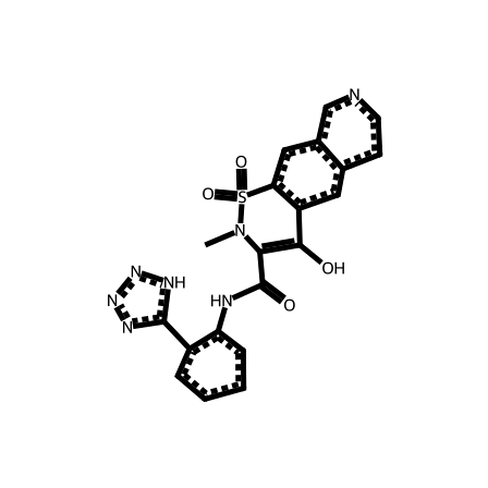 CN1C(C(=O)Nc2ccccc2-c2nnn[nH]2)=C(O)c2cc3ccncc3cc2S1(=O)=O